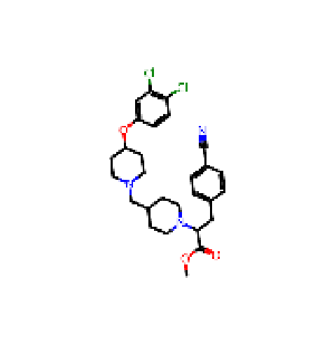 COC(=O)C(Cc1ccc(C#N)cc1)N1CCC(CN2CCC(Oc3ccc(Cl)c(Cl)c3)CC2)CC1